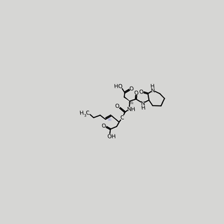 CCC/C=C/C(CC(=O)O)CC(=O)N[C@@H](CC(=O)O)C(=O)NC1CCCCNC1=O